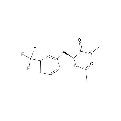 COC(=O)[C@H](Cc1cccc(C(F)(F)F)c1)NC(C)=O